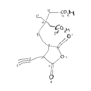 C#CC1C(=O)OC(=O)C1CC(C)(CC(=O)O)C(=O)O